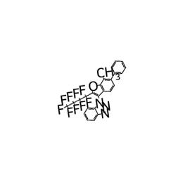 Cc1c(-c2ccccc2)ccc2c(-n3nnc4ccccc43)c(C(F)(F)C(F)(F)C(F)(F)C(F)(F)F)oc12